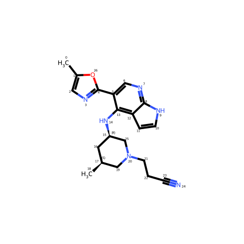 Cc1cnc(-c2cnc3[nH]ccc3c2N[C@@H]2C[C@H](C)CN(CCC#N)C2)o1